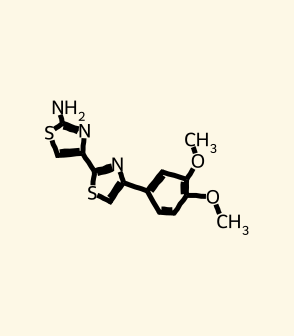 COc1ccc(-c2csc(-c3csc(N)n3)n2)cc1OC